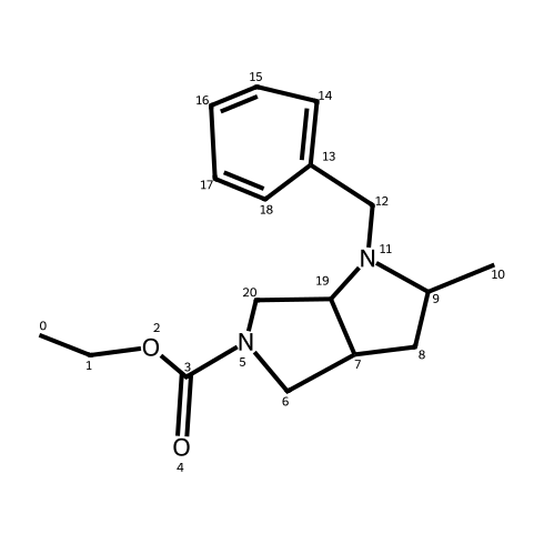 CCOC(=O)N1CC2CC(C)N(Cc3ccccc3)C2C1